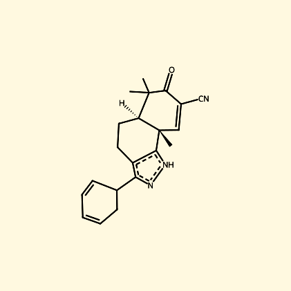 CC1(C)C(=O)C(C#N)=C[C@]2(C)c3[nH]nc(C4C=CC=CC4)c3CC[C@@H]12